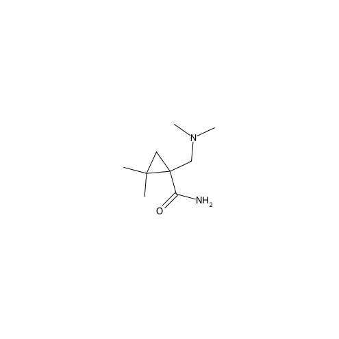 CN(C)CC1(C(N)=O)CC1(C)C